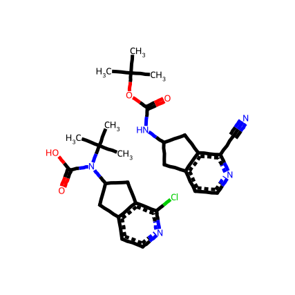 CC(C)(C)N(C(=O)O)C1Cc2ccnc(Cl)c2C1.CC(C)(C)OC(=O)NC1Cc2ccnc(C#N)c2C1